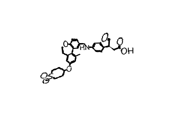 Cc1cc(OC2CCS(=O)(=O)CC2)cc2c1-c1cc(CNc3ccc4c(c3)OC[C@H]4CC(=O)O)ccc1OCC2